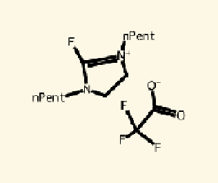 CCCCCN1CC[N+](CCCCC)=C1F.O=C([O-])C(F)(F)F